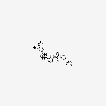 COC(=O)CC1CCN(C(=O)N[C@H]2CCc3c(-c4noc(-c5ccc(OC(C)C)c(C#N)c5)n4)cccc32)CC1